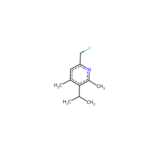 Cc1cc(CF)nc(C)c1C(C)C